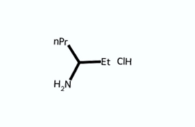 Cl.[CH2]CC(N)CCC